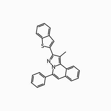 Cc1c(-c2cc3ccccc3s2)nn2c(-c3ccccc3)cc3ccccc3c12